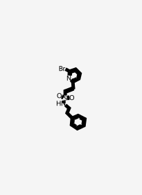 O=S(=O)(C=Cc1cccc(Br)n1)NCCc1ccccc1